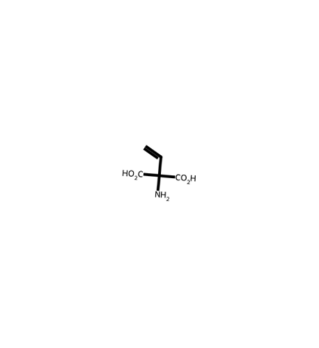 C=CC(N)(C(=O)O)C(=O)O